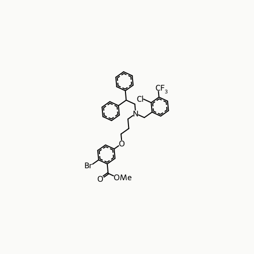 COC(=O)c1cc(OCCCN(Cc2cccc(C(F)(F)F)c2Cl)CC(c2ccccc2)c2ccccc2)ccc1Br